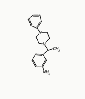 CC(c1cccc(N)c1)N1CCN(c2ccccc2)CC1